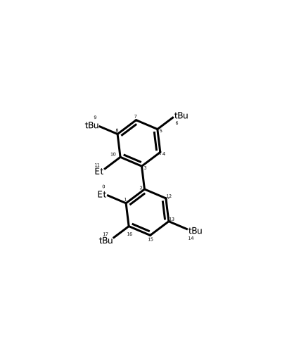 CCc1c(-c2[c]c(C(C)(C)C)cc(C(C)(C)C)c2CC)[c]c(C(C)(C)C)cc1C(C)(C)C